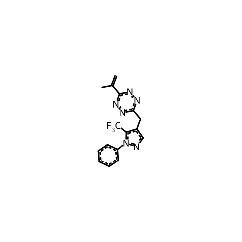 C=C(C)c1nnc(Cc2cnn(-c3ccccc3)c2C(F)(F)F)nn1